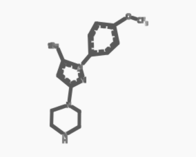 CC(C)(C)c1cc(N2CCNCC2)nn1-c1ccc(OC(F)(F)F)cc1